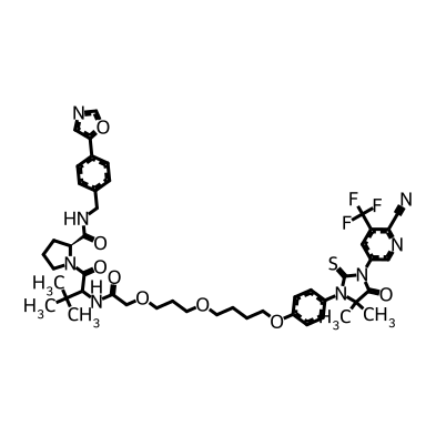 CC(C)(C)C(NC(=O)COCCCOCCCCOc1ccc(N2C(=S)N(c3cnc(C#N)c(C(F)(F)F)c3)C(=O)C2(C)C)cc1)C(=O)N1CCC[C@H]1C(=O)NCc1ccc(-c2cnco2)cc1